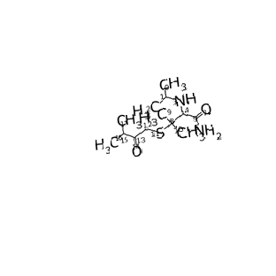 CC(C)NC(C(N)=O)C(C)(C)SCC(=O)C(C)C